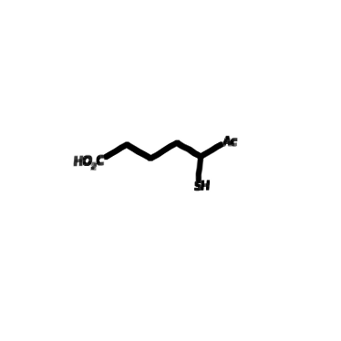 CC(=O)C(S)CCCC(=O)O